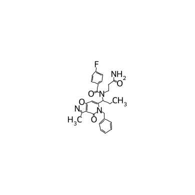 CCC(c1cc2onc(C)c2c(=O)n1Cc1ccccc1)N(CCC(N)=O)C(=O)c1ccc(F)cc1